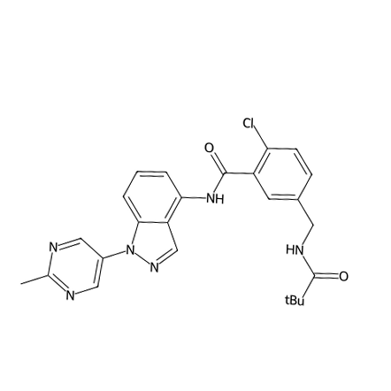 Cc1ncc(-n2ncc3c(NC(=O)c4cc(CNC(=O)C(C)(C)C)ccc4Cl)cccc32)cn1